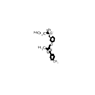 CCCC(C(=O)O)[S+]([O-])C[C@H]1CCC[C@@H](OCc2nc(-c3ccc(C)cc3)oc2C)C1